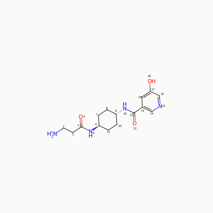 NCCC(=O)N[C@H]1CC[C@H](NC(=O)c2cncc(O)c2)CC1